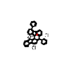 [Cl-].[Cl-].[Zr+2][C]1=c2ccccc2=c2ccc(=C(c3ccccc3)c3ccccc3)c(C3C=Cc4c(-c5ccccc5)cccc43)c21